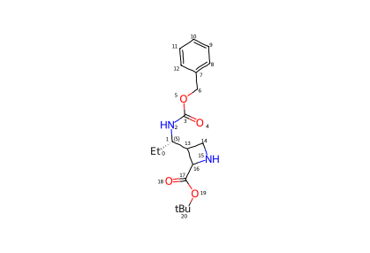 CC[C@H](NC(=O)OCc1ccccc1)C1CNC1C(=O)OC(C)(C)C